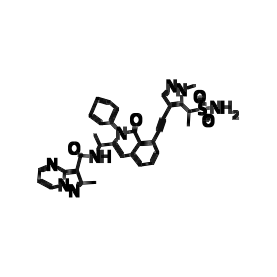 Cc1nn2cccnc2c1C(=O)NC(C)c1cc2cccc(C#Cc3cnn(C)c3C(C)S(N)(=O)=O)c2c(=O)n1-c1ccccc1